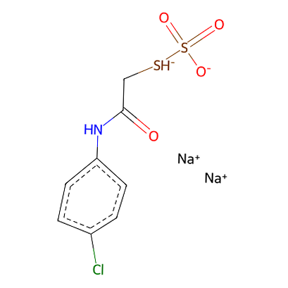 O=C(C[SH-]S(=O)(=O)[O-])Nc1ccc(Cl)cc1.[Na+].[Na+]